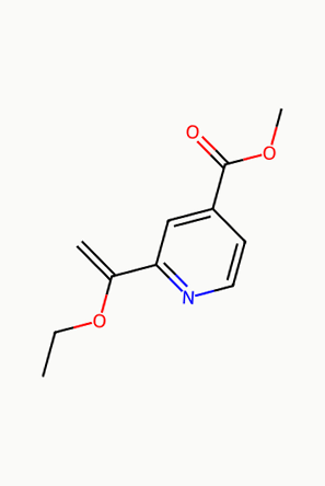 C=C(OCC)c1cc(C(=O)OC)ccn1